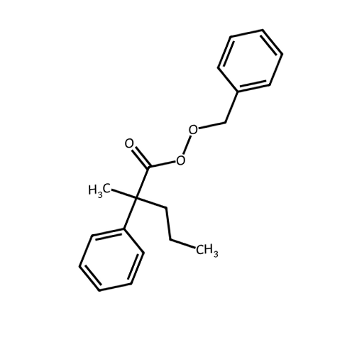 CCCC(C)(C(=O)OOCc1ccccc1)c1ccccc1